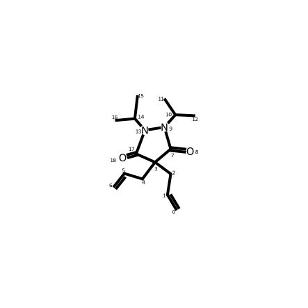 C=CCC1(CC=C)C(=O)N(C(C)C)N(C(C)C)C1=O